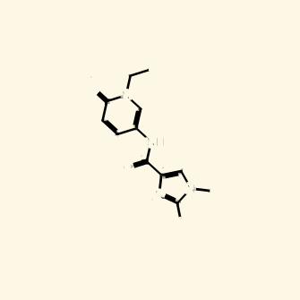 CCn1cc(NC(=O)c2cn(C)c(Cl)n2)ccc1=O